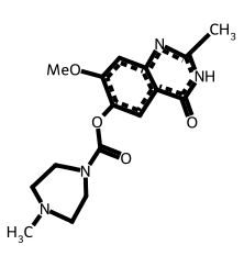 COc1cc2nc(C)[nH]c(=O)c2cc1OC(=O)N1CCN(C)CC1